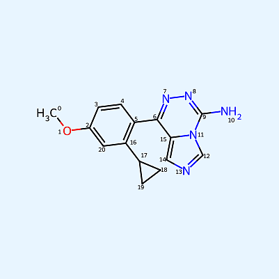 COc1ccc(-c2nnc(N)n3cncc23)c(C2CC2)c1